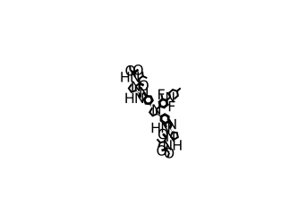 COC(=O)N[C@H](C(=O)N1CCC[C@H]1c1nc2ccc([C@H]3CC[C@H](c4ccc5nc([C@@H]6CCCN6C(=O)[C@@H](NC(=O)OC)C(C)C)[nH]c5c4)N3c3cc(F)c(N4CCC(C)CC4)c(F)c3)cc2[nH]1)C(C)C